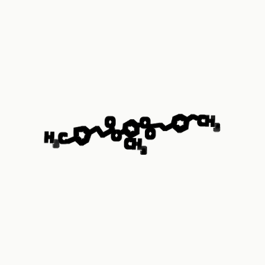 CCc1ccc(CCC(=O)Oc2ccc(OC(=O)CCc3ccc(CC)cc3)c(C)c2)cc1